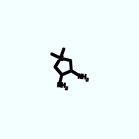 C[Si]1(C)CC(N)C(N)C1